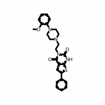 COc1ccccc1N1CCN(CCn2c(=O)[nH]c3sc(-c4ccccc4)cc3c2=O)CC1